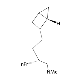 CCC[C@H](CC[C@@H]1CC2C[C@@H]21)CNC